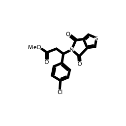 COC(=O)CC(c1ccc(Cl)cc1)N1C(=O)c2cscc2C1=O